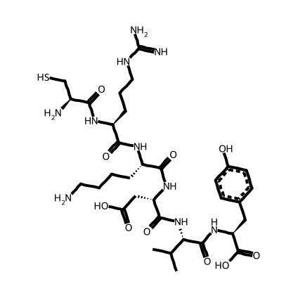 CC(C)[C@H](NC(=O)[C@H](CC(=O)O)NC(=O)[C@H](CCCCN)NC(=O)[C@H](CCCNC(=N)N)NC(=O)[C@@H](N)CS)C(=O)N[C@@H](Cc1ccc(O)cc1)C(=O)O